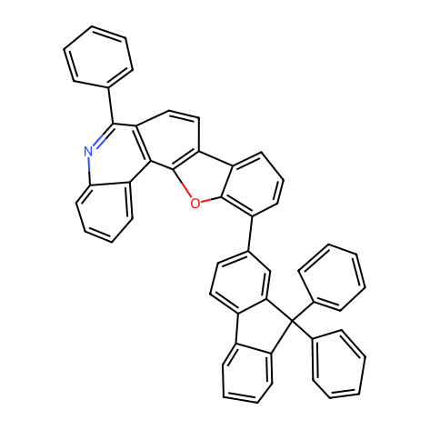 c1ccc(-c2nc3ccccc3c3c2ccc2c4cccc(-c5ccc6c(c5)C(c5ccccc5)(c5ccccc5)c5ccccc5-6)c4oc23)cc1